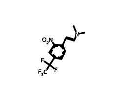 CN(C)C=Cc1ccc(C(F)(F)C(F)(F)F)cc1[N+](=O)[O-]